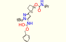 CC(C)NC(=O)O[C@@H]1CC[C@H](c2cc(NC(O)OCc3ccccc3)n(C(C)(C)C)n2)C1